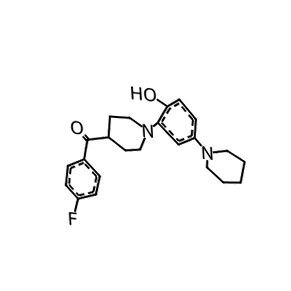 O=C(c1ccc(F)cc1)C1CCN(c2cc(N3CCCCC3)ccc2O)CC1